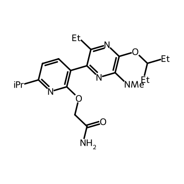 CCc1nc(OC(CC)CC)c(NC)nc1-c1ccc(C(C)C)nc1OCC(N)=O